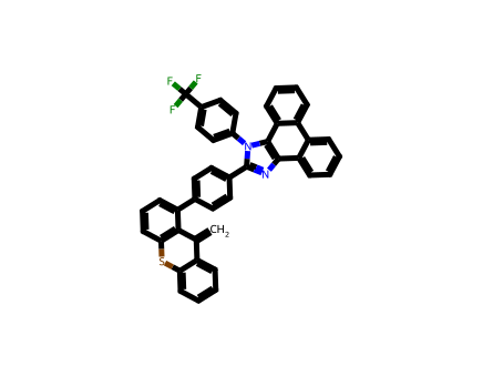 C=C1c2ccccc2Sc2cccc(-c3ccc(-c4nc5c6ccccc6c6ccccc6c5n4-c4ccc(C(F)(F)F)cc4)cc3)c21